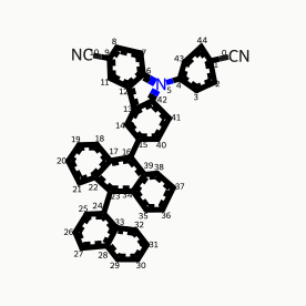 N#Cc1ccc(-n2c3ccc(C#N)cc3c3cc(-c4c5ccccc5c(-c5cccc6ccccc56)c5ccccc45)ccc32)cc1